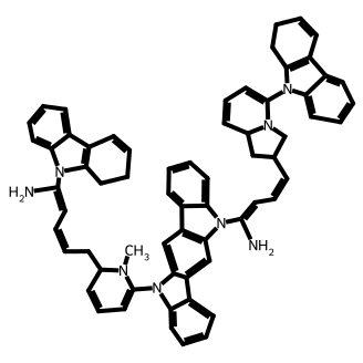 CN1C(n2c3ccccc3c3cc4c(cc32)c2ccccc2n4/C(N)=C/C=C\C2CC3C=CC=C(n4c5c(c6ccccc64)C=CCC5)N3C2)=CC=CC1C/C=C\C=C(/N)n1c2c(c3ccccc31)C=CCC2